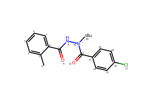 Cc1ccccc1C(=O)NN(C(=O)c1ccc(Cl)cc1)C(C)(C)C